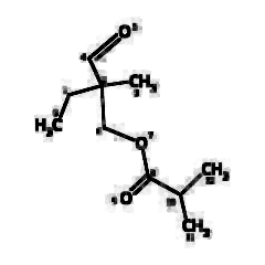 CCC(C)(C=O)COC(=O)C(C)C